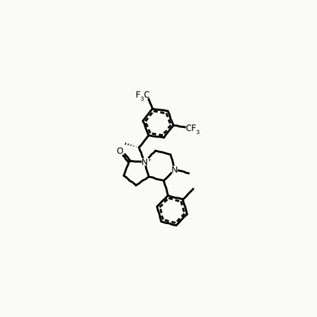 Cc1ccccc1C1C2CCC(=O)[N+]2([C@H](C)c2cc(C(F)(F)F)cc(C(F)(F)F)c2)CCN1C